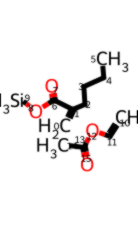 C=C(CCCC)C(=O)O[SiH3].C=COC(C)=O